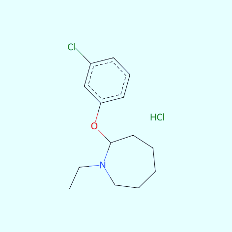 CCN1CCCCCC1Oc1cccc(Cl)c1.Cl